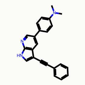 CN(C)c1ccc(-c2cnc3[nH]cc(C#Cc4ccccc4)c3c2)cc1